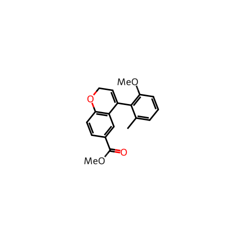 COC(=O)c1ccc2c(c1)C(c1c(C)cccc1OC)=CCO2